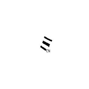 C=C.CC.CC#N